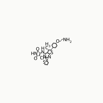 CC1=C(Nc2nc(-c3cccs3)nc3sc(-c4ccc(OCCN)cc4)c(C)c23)C(=O)NC1=O